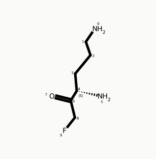 NCCC[C@H](N)C(=O)CF